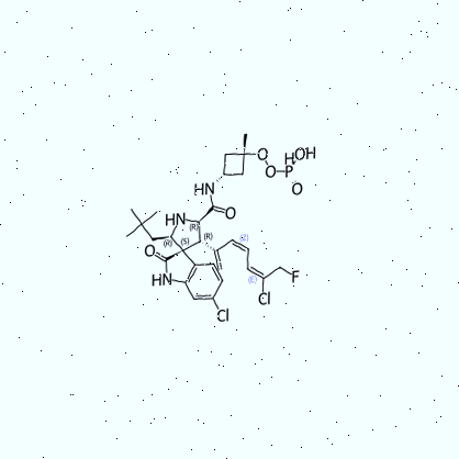 C=C(/C=C\C=C(\Cl)CF)[C@H]1[C@H](C(=O)N[C@H]2C[C@@](C)(OO[PH](=O)O)C2)N[C@H](CC(C)(C)C)[C@]12C(=O)Nc1cc(Cl)ccc12